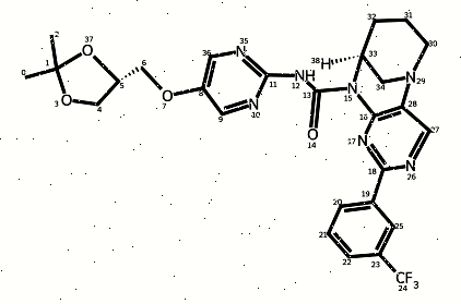 CC1(C)OC[C@@H](COc2cnc(NC(=O)N3c4nc(-c5cccc(C(F)(F)F)c5)ncc4N4CCC[C@H]3C4)nc2)O1